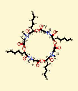 CCCCC[C@H]1OC(=O)[C@H](C)N(C)C(=O)[C@@H](CCCCC)OC(=O)[C@H](C)N(C)C(=O)[C@@H](CCCCC)OC(=O)[C@H](C)N(C)C(=O)[C@@H](CCCCC)OC(=O)[C@H](C)N(C)C1=O